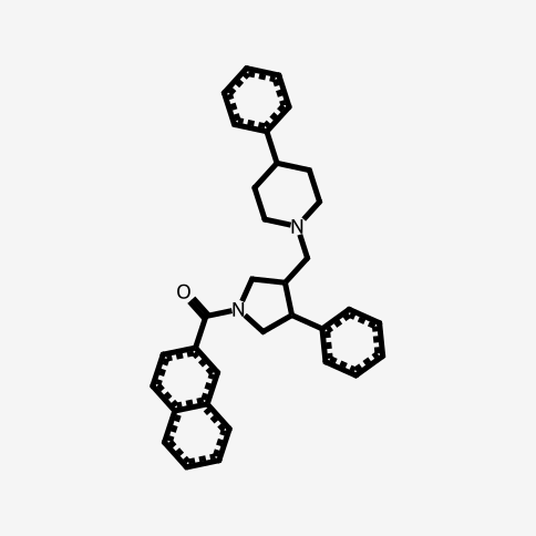 O=C(c1ccc2ccccc2c1)N1CC(CN2CCC(c3ccccc3)CC2)C(c2ccccc2)C1